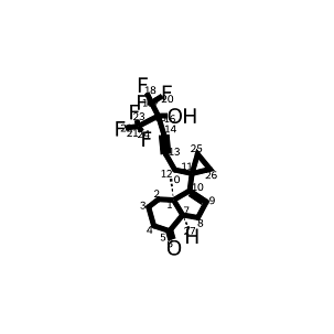 C[C@@]12CCCC(=O)[C@@H]1CC=C2C1(CC#CC(O)(C(F)(F)F)C(F)(F)F)CC1